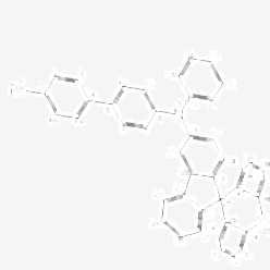 Brc1ccc(-c2ccc(N(c3ccccc3)c3ccc4c(c3)-c3ccccc3C43c4ccccc4Oc4ccccc43)cc2)cc1